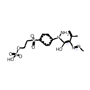 C=C(C)C(/N=N/C)=C(/O)N(N)c1ccc(S(=O)(=O)CCOS(=O)(=O)O)cc1